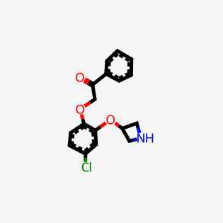 O=C(COc1ccc(Cl)cc1OC1CNC1)c1ccccc1